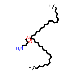 CCCCC/C=C\C/C=C\CCCCCCCCC1(CCCCCCCC/C=C\C/C=C\CCCCC)OCC(CCN)O1